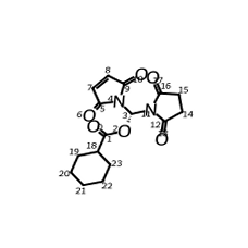 O=C(O[C@H](N1C(=O)C=CC1=O)N1C(=O)CCC1=O)C1CCCCC1